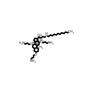 CCCCCCCCCCCCNCCCC(C)C1CC[C@H]2C3[C@H](OCCCN)CC4C[C@H](OCCCN)CC[C@]4(C)[C@H]3C[C@H](OCCCN)[C@]12C